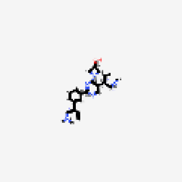 C=C/C(=C\N(C)C)c1cccc(-c2ncc(C(/C=N\C)=C/C)c(N3CC(O)C3)n2)c1